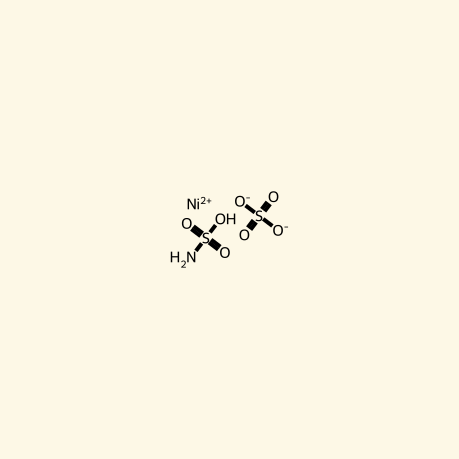 NS(=O)(=O)O.O=S(=O)([O-])[O-].[Ni+2]